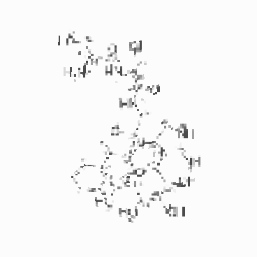 CC(c1ccccc1)[C@@H]([C]=O)N(C(=O)CNC(=O)[C@H](CO)NC(=O)[C@@H](N)CO)C1CNC(=N)N1C1OC(CO)C(O)C(O)C1O